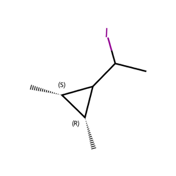 CC(I)C1[C@@H](C)[C@H]1C